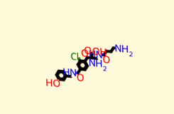 NCCCC(=O)NC[C@](N)(C(=O)O)C(=O)c1ccc(C(=O)NCc2cccc(O)c2)cc1Cl